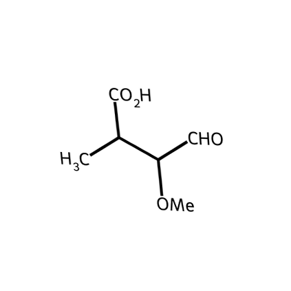 COC(C=O)C(C)C(=O)O